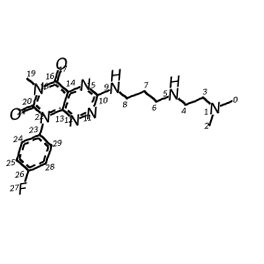 CN(C)CCNCCCNc1nnc2c(n1)c(=O)n(C)c(=O)n2-c1ccc(F)cc1